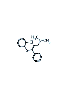 CN(C)CC=C(Sc1ccccc1Cl)c1ccccc1